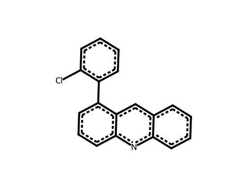 Clc1ccccc1-c1cccc2nc3ccccc3cc12